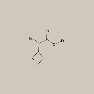 CCOC(=O)C(Br)C1CCC1